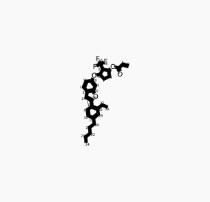 C=CC(=O)OC1CCC(Oc2ccc3cc(-c4ccc(CCCCC)cc4CC)oc3c2)C1C(F)(F)F